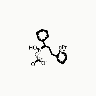 CCC[n+]1ccccc1CCC(=NO)c1ccccc1.[O-][I+2]([O-])[O-]